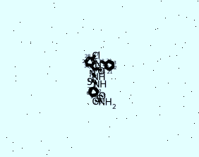 NS(=O)(=O)c1cccc(NC(=S)NN=C2C(=O)N(Cc3ccccc3)c3c(Cl)cccc32)c1